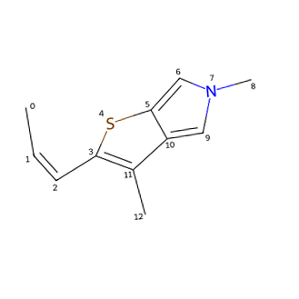 C/C=C\c1sc2cn(C)cc2c1C